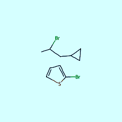 Brc1cccs1.CC(Br)CC1CC1